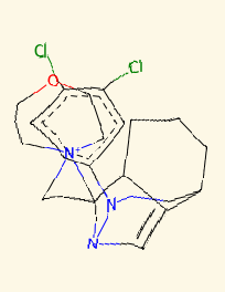 Clc1ccc(N2C3CCCC4C3=CN2C42C[N+]23CCOCC3)cc1Cl